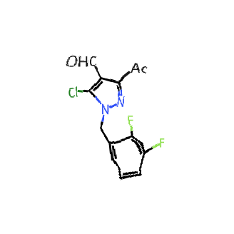 CC(=O)c1nn(Cc2cccc(F)c2F)c(Cl)c1C=O